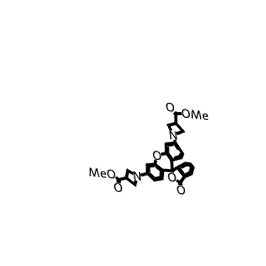 COC(=O)C1CN(c2ccc3c(c2)Oc2cc(N4CC(C(=O)OC)C4)ccc2C32OC(=O)c3ccccc32)C1